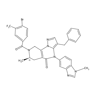 C[C@@H]1Cc2c(n3ncc(Cc4ccccc4)c3n(-c3ccc4c(c3)ncn4C)c2=O)CN1C(=O)c1ccc(Br)c(C(F)(F)F)c1